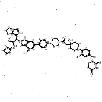 O=C1CC[C@H](Nc2ccc(N3CCC(O)(CC(=O)N4CCN(c5ccc(-c6cc(F)c7cn(C(C(=O)Nc8nccs8)c8ncn9c8CCC9)nc7c6)cn5)CC4)CC3)c(F)c2)C(=O)N1